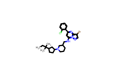 CCC(C)(C)C1CCC(N2CCCC(CNc3cc(-c4ccccc4Cl)nc4c(Br)cnn34)C2)C1